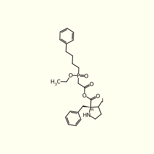 CCOP(=O)(CCCCc1ccccc1)CC(=O)OC(=O)[C@@]1(Cc2ccccc2)NCCC1I